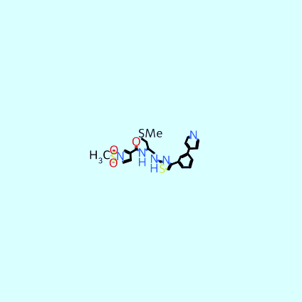 CSCCC(CNc1nc(-c2cccc(-c3ccncc3)c2)cs1)NC(=O)c1ccn(S(C)(=O)=O)c1